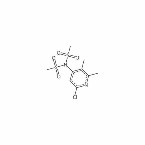 Cc1nc(Cl)cc(N(S(C)(=O)=O)S(C)(=O)=O)c1C